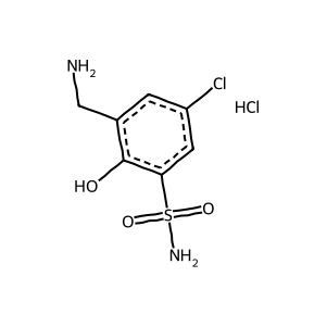 Cl.NCc1cc(Cl)cc(S(N)(=O)=O)c1O